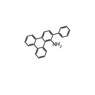 Nc1c(-c2ccccc2)ccc2c3ccccc3c3ccccc3c12